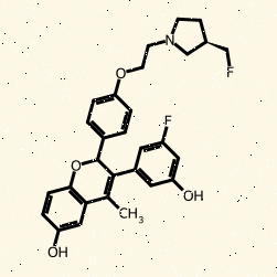 CC1=C(c2cc(O)cc(F)c2)C(c2ccc(OCCN3CC[C@@H](CF)C3)cc2)Oc2ccc(O)cc21